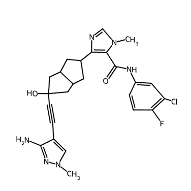 Cn1cc(C#CC2(O)CC3CC(c4ncn(C)c4C(=O)Nc4ccc(F)c(Cl)c4)CC3C2)c(N)n1